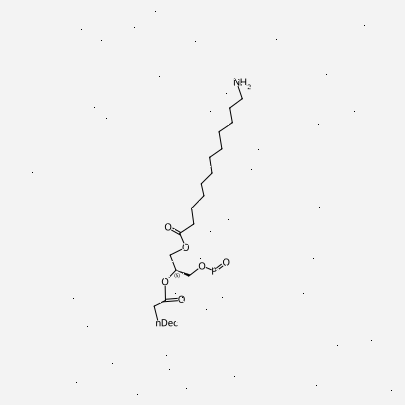 CCCCCCCCCCCC(=O)O[C@H](COP=O)COC(=O)CCCCCCCCCCCN